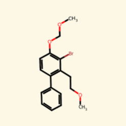 COCCc1c(-c2ccccc2)ccc(OCOC)c1Br